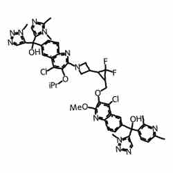 COc1nc2ccc(C(O)(c3ccc(C)nc3C)c3cnnn3C)cc2c(Cl)c1OCC1C(C2CN(c3nc4ccc(C(O)(c5cnnn5C)c5cnc(C)n5C)cc4c(Cl)c3OC(C)C)C2)C1(F)F